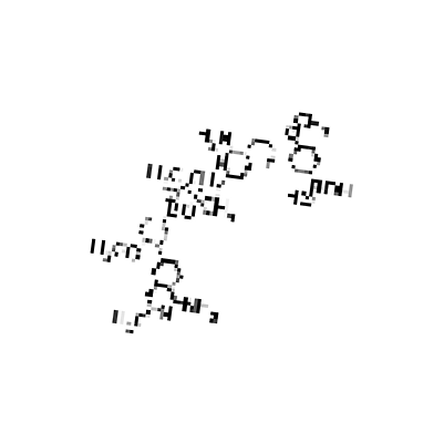 COc1ccc(B(O)O)cc1-c1ccc2c(N)nc(CCC3(C)OB(c4ccc(OC)c(-c5ccc6c(N)nc(C)cc6c5)c4)OC3(C)C)cc2c1